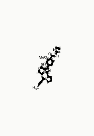 CC#CC(=O)N1CCCC1c1nc(-c2ccc(C(=O)Nc3nccs3)c(OC)c2)c2c(N)nccn12